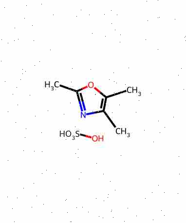 Cc1nc(C)c(C)o1.O=S(=O)(O)O